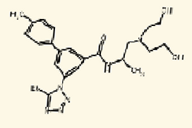 CCc1nnnn1-c1cc(C(=O)N[C@H](C)CN(CCO)CCO)cc(-c2ccc(C)cc2)c1